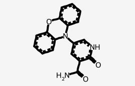 NC(=O)c1cc(N2c3ccccc3Oc3ccccc32)c[nH]c1=O